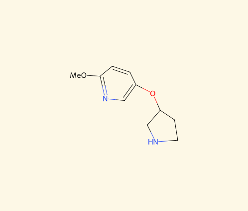 COc1ccc(OC2CCNC2)cn1